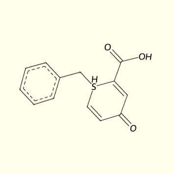 O=C1C=C[SH](Cc2ccccc2)C(C(=O)O)=C1